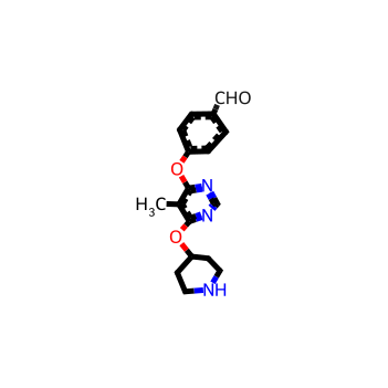 Cc1c(Oc2ccc(C=O)cc2)ncnc1OC1CCNCC1